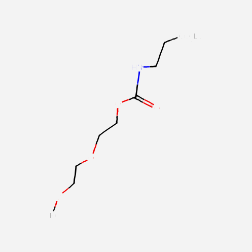 CCOCCOCCOC(=O)NCCC(=O)OCC